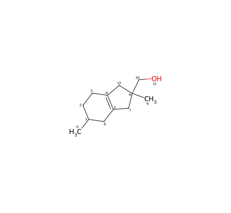 CC1CCC2=C(C1)CC(C)(CO)C2